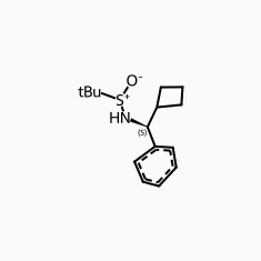 CC(C)(C)[S+]([O-])N[C@H](c1ccccc1)C1CCC1